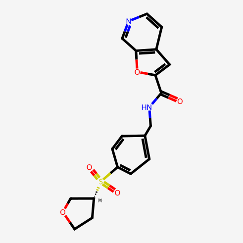 O=C(NCc1ccc(S(=O)(=O)[C@@H]2CCOC2)cc1)c1cc2ccncc2o1